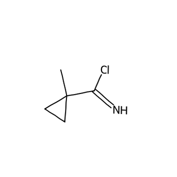 CC1(C(=N)Cl)CC1